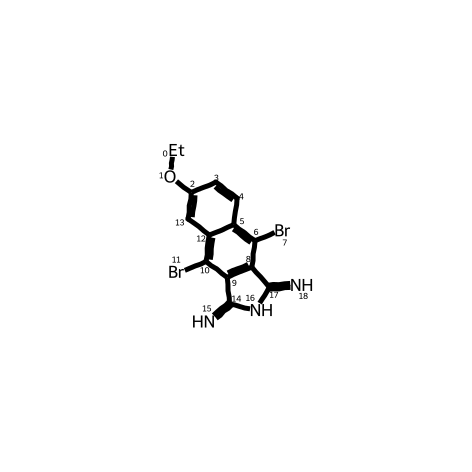 CCOc1ccc2c(Br)c3c(c(Br)c2c1)C(=N)NC3=N